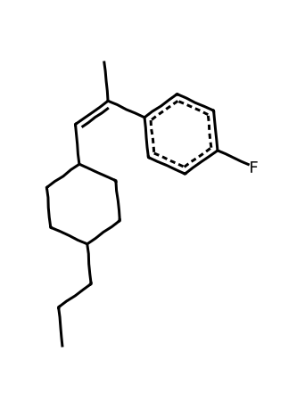 CCCC1CCC(C=C(C)c2ccc(F)cc2)CC1